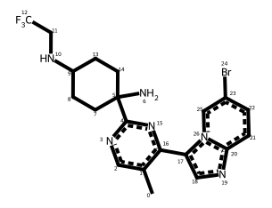 Cc1cnc(C2(N)CCC(NCC(F)(F)F)CC2)nc1-c1cnc2ccc(Br)cn12